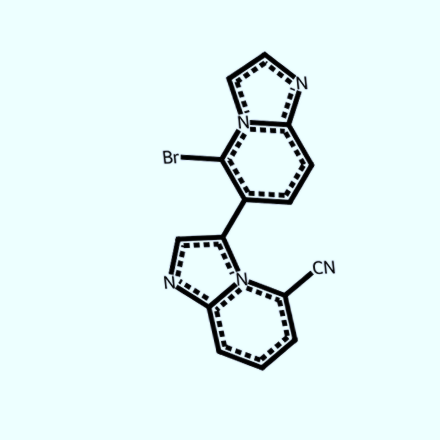 N#Cc1cccc2ncc(-c3ccc4nccn4c3Br)n12